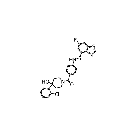 O=C(c1ccc(NSc2cc(F)cc3scnc23)cc1)N1CCC(O)(c2ccccc2Cl)CC1